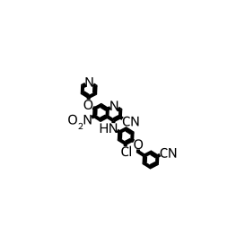 N#Cc1cccc(COc2ccc(Nc3c(C#N)cnc4cc(Oc5ccncc5)c([N+](=O)[O-])cc34)cc2Cl)c1